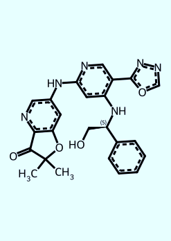 CC1(C)Oc2cc(Nc3cc(N[C@H](CO)c4ccccc4)c(-c4nnco4)cn3)cnc2C1=O